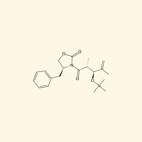 C=C(C)[C@@H](O[Si](C)(C)C)[C@@H](C)C(=O)N1C(=O)OC[C@@H]1Cc1ccccc1